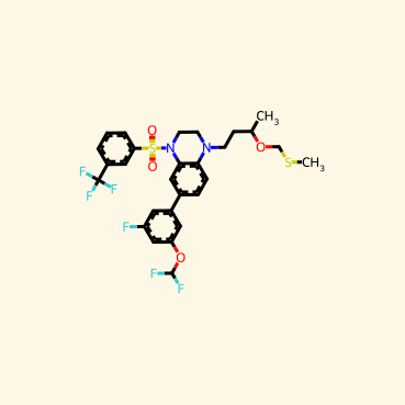 CSCOC(C)CCN1CCN(S(=O)(=O)c2cccc(C(F)(F)F)c2)c2cc(-c3cc(F)cc(OC(F)F)c3)ccc21